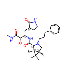 CNC(=O)C(=O)[C@H](C[C@@H]1CCNC1=O)NC(=O)[C@@H]1[C@@H]2[C@H](CN1CCCc1ccccc1)C2(C)C